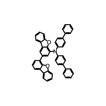 c1ccc(-c2ccc(N(c3ccc(-c4ccccc4)cc3)c3cc(-c4cccc5c4oc4ccccc45)cc4c3oc3ccccc34)cc2)cc1